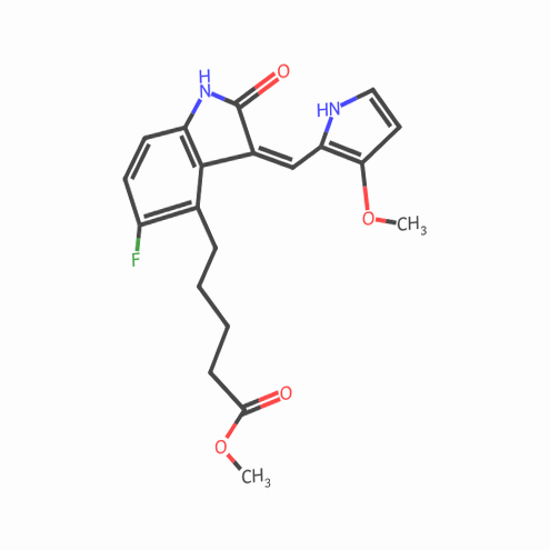 COC(=O)CCCCc1c(F)ccc2c1/C(=C/c1[nH]ccc1OC)C(=O)N2